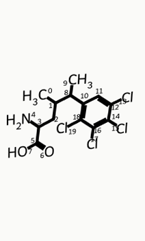 CC(CC(N)C(=O)O)C(C)c1cc(Cl)c(Cl)c(Cl)c1Cl